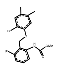 COC(=O)Nc1cccc(Br)c1COc1cc(C)c(C)cc1Br